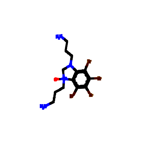 NCCCN1C[N+]([O-])(CCCN)c2c(Br)c(Br)c(Br)c(Br)c21